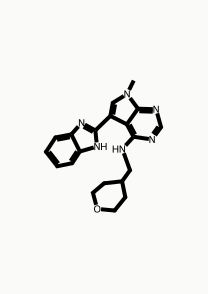 Cn1cc(-c2nc3ccccc3[nH]2)c2c(NCC3CCOCC3)ncnc21